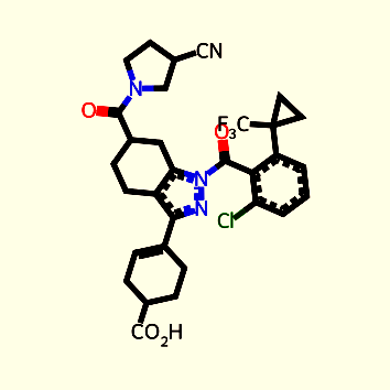 N#CC1CCN(C(=O)C2CCc3c(C4=CCC(C(=O)O)CC4)nn(C(=O)c4c(Cl)cccc4C4(C(F)(F)F)CC4)c3C2)C1